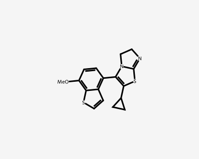 COc1ccc(C2=C(C3CC3)SC3=NCCN32)c2ccsc12